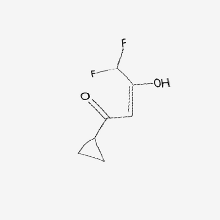 O=C(/C=C(/O)C(F)F)C1CC1